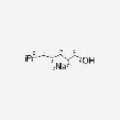 CC(C)CCCCCO.[Na]